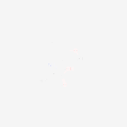 CC(N)C(=O)O.COc1ccccc1